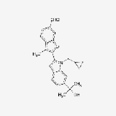 Cc1c(-c2cc3ccc(C(C)(C)O)cc3n2CC2CC2)oc2cc(C=O)ccc12